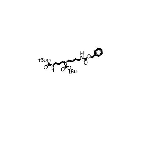 CC(C)(C)OC(=O)NCCCN(CCCCNC(=O)OCc1ccccc1)C(=O)OC(C)(C)C